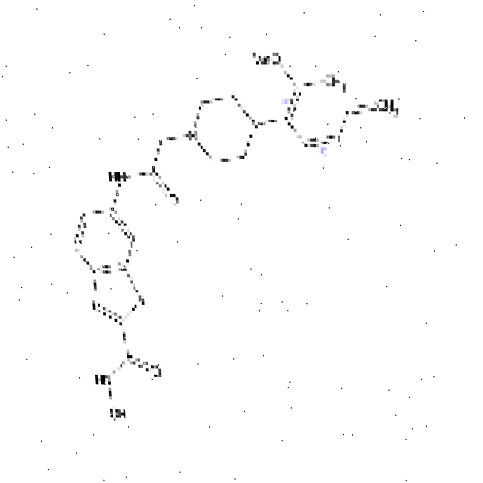 C=C/C=C\C(=C(/C)OC)N1CCN(CC(=O)Nc2ccc3cc(C(=O)NO)sc3c2)CC1